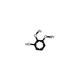 CC(C)Oc1cc[c]c(O)c1OC(C)C